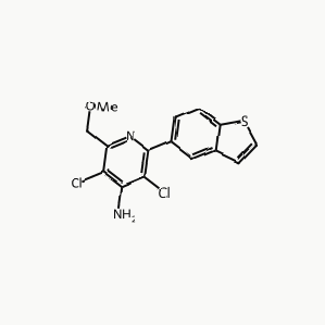 COCc1nc(-c2ccc3sccc3c2)c(Cl)c(N)c1Cl